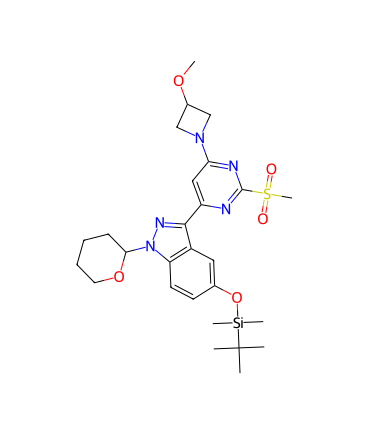 COC1CN(c2cc(-c3nn(C4CCCCO4)c4ccc(O[Si](C)(C)C(C)(C)C)cc34)nc(S(C)(=O)=O)n2)C1